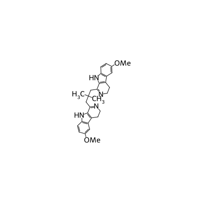 COc1ccc2[nH]c3c(c2c1)CCN=C3CC(C)(C)CC1=NCCc2c1[nH]c1ccc(OC)cc21